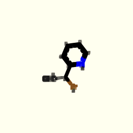 O=C[C@@H](Br)c1ccccn1